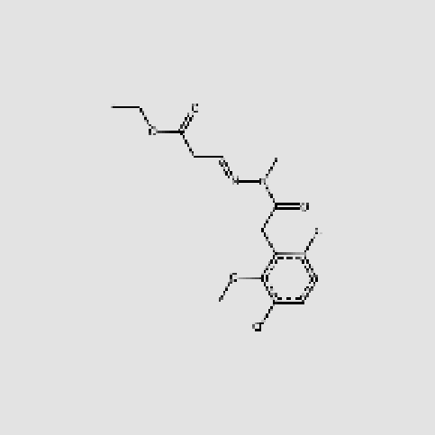 CCOC(=O)CC=NN(C)C(=O)Cc1c(Cl)ccc(Cl)c1OC